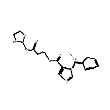 C[C@H](C1C=CC=CC1)n1cncc1C(=O)OCCC(=O)OC1NCCO1